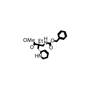 CC[C@](CNC(=O)OCc1ccccc1)(C[C@@H]1C=CCCN1)C(=O)OC